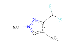 CC(C)(C)n1cc([N+](=O)[O-])c(C(F)F)n1